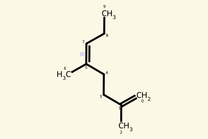 C=C(C)CC/C(C)=C\CC